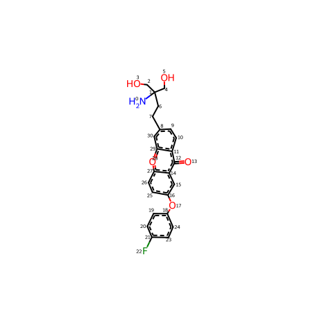 NC(CO)(CO)CCc1ccc2c(=O)c3cc(Oc4ccc(F)cc4)ccc3oc2c1